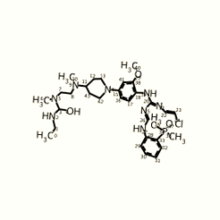 CCNC(O)N(C)CCN(C)C1CCN(c2ccc(NC(=N/C=C/Cl)/N=C/Nc3ccccc3P(C)(C)=O)c(OC)c2)CC1